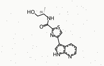 C[C@@H](CO)NC(=O)c1nc(-c2c[nH]c3ncccc23)cs1